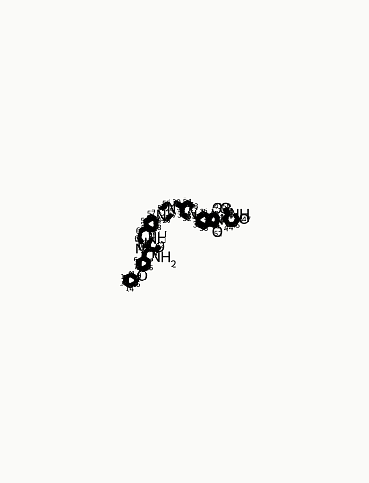 NC(=O)c1c(-c2ccc(Oc3ccccc3)cc2)nn2c1Nc1cc(N3CCN(CC4CCN(c5ccc6c(c5)C(=O)N(C5CCC(=O)NC5=O)C6=O)CC4)CC3)ccc1CC2